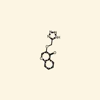 O=c1c(OCc2nnn[nH]2)coc2ccccc12